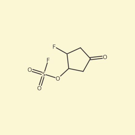 O=C1CC(F)C(OS(=O)(=O)F)C1